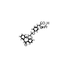 CCCOC(Cc1ccc(OCCCN2c3ccccc3CC(=O)c3ccccc32)cc1)C(=O)O